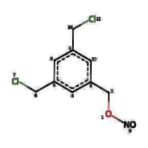 O=NOCc1cc(CCl)cc(CCl)c1